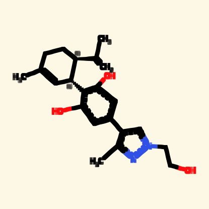 C=C(C)[C@@H]1CCC(C)=C[C@H]1c1c(O)cc(-c2cn(CCO)nc2C)cc1O